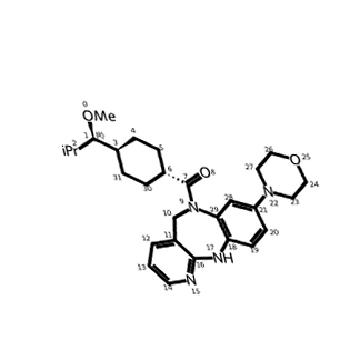 CO[C@H](C(C)C)[C@H]1CC[C@H](C(=O)N2Cc3cccnc3Nc3ccc(N4CCOCC4)cc32)CC1